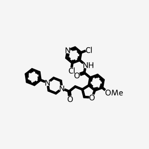 COc1ccc(C(=O)Nc2c(Cl)cncc2Cl)c2c1OCC2CC(=O)N1CCN(c2ccccc2)CC1